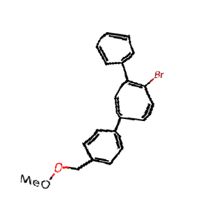 COOCc1ccc(-c2ccc(Br)c(-c3ccccc3)c2)cc1